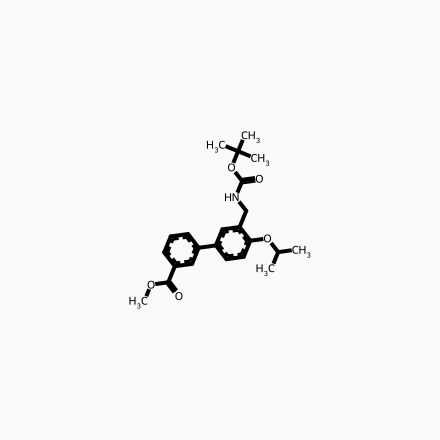 COC(=O)c1cccc(-c2ccc(OC(C)C)c(CNC(=O)OC(C)(C)C)c2)c1